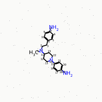 CN(CCc1ccc(N)cc1)C1CCN(c2ccc(N)cc2)CC1